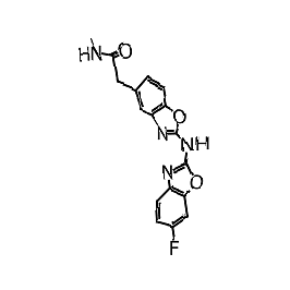 CNC(=O)Cc1ccc2oc(Nc3nc4ccc(F)cc4o3)nc2c1